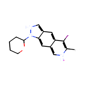 CC(C)C1=C(I)c2cc3c(cc2=C[NH+]1[O-])N(C1CCCCO1)NC=3